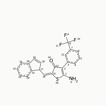 NC1=C(c2cccc(C(F)(F)F)c2)C(=O)C(=CC2C=Cc3ccccc32)S1